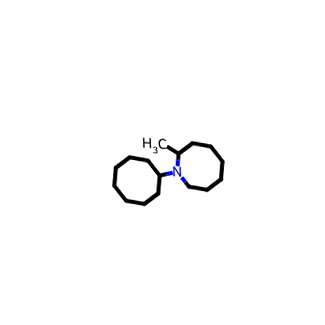 CC1CCCCCCN1C1CCCCCCC1